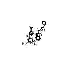 Cc1cc(Nc2cc(C3CC3)n[nH]2)nc(Nc2ccc3oc(C(=O)NCCN4CCCC4)cc3c2)n1